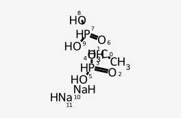 CC.O=[PH](O)O.O=[PH](O)O.[NaH].[NaH]